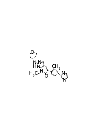 CCn1c(=O)c(-c2ccc(-c3cnccn3)cc2C)cc2cnc(NC3CCOCC3)nc21